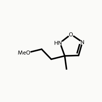 COCCC1(C)C=NON1